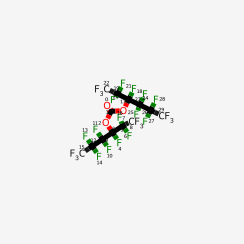 O=C(OC(F)(C(F)(F)C(F)(F)F)C(F)(F)C(F)(F)C(F)(F)F)OC(F)(C(F)(F)C(F)(F)F)C(F)(F)C(F)(F)C(F)(F)F